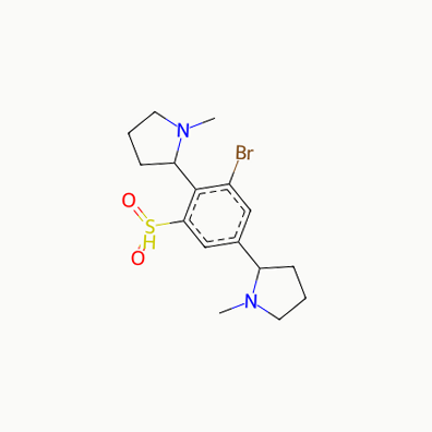 CN1CCCC1c1cc(Br)c(C2CCCN2C)c([SH](=O)=O)c1